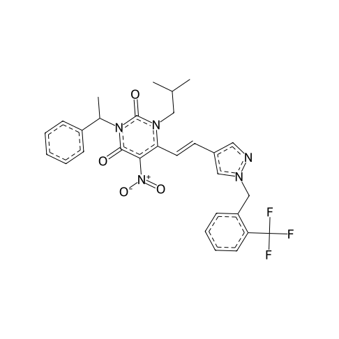 CC(C)Cn1c(/C=C/c2cnn(Cc3ccccc3C(F)(F)F)c2)c([N+](=O)[O-])c(=O)n(C(C)c2ccccc2)c1=O